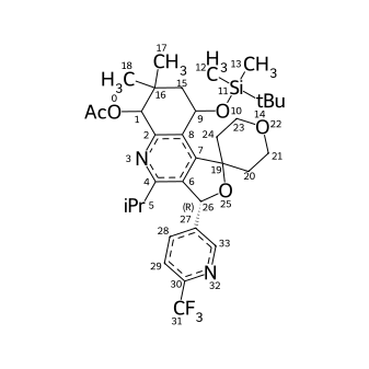 CC(=O)OC1c2nc(C(C)C)c3c(c2C(O[Si](C)(C)C(C)(C)C)CC1(C)C)C1(CCOCC1)O[C@@H]3c1ccc(C(F)(F)F)nc1